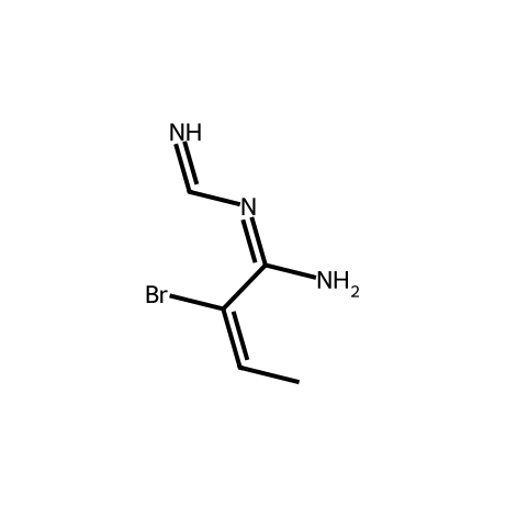 C/C=C(Br)\C(N)=N/C=N